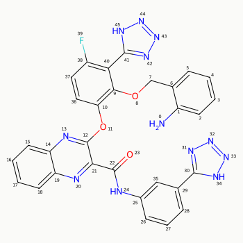 Nc1ccccc1COc1c(Oc2nc3ccccc3nc2C(=O)Nc2cccc(-c3nnn[nH]3)c2)ccc(F)c1-c1nnn[nH]1